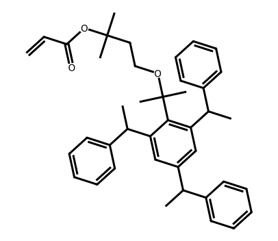 C=CC(=O)OC(C)(C)CCOC(C)(C)c1c(C(C)c2ccccc2)cc(C(C)c2ccccc2)cc1C(C)c1ccccc1